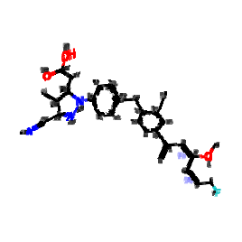 C=C(/C=C(\C=C/CF)OC)c1ccc(Cc2ccc(N3N=C(C#N)C(C)C3CC(=O)O)cc2)c(C)c1